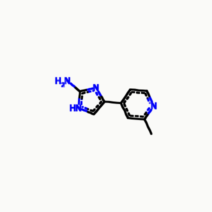 Cc1cc(-c2c[nH]c(N)n2)ccn1